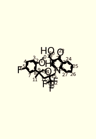 COc1ccc(F)cc1C(C)(C)CC(O)(Cn1cc(CO)c(=O)c2ccccc21)C(F)(F)F